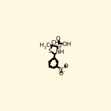 CC1(C)SC(c2cccc([N+](=O)[O-])c2)N[C@H]1C(=O)O